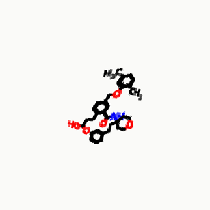 Cc1ccc(C)c(OCc2ccc(CCC(=O)O)c(C(=O)NC3(CCc4ccccc4)CCOCC3)c2)c1